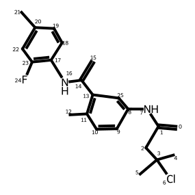 C=C(CC(C)(C)Cl)Nc1ccc(C)c(C(=C)Nc2ccc(C)cc2F)c1